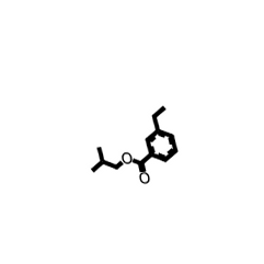 CCc1cccc(C(=O)OCC(C)C)c1